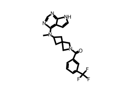 CN(c1ncnc2[nH]ccc12)C1CC2(C1)CN(C(=O)c1cccc(C(F)(F)F)c1)C2